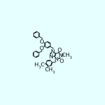 Cc1ccc(Cn2c(=O)n(C)c(=O)c3c2ncn3Cc2ccc(OCc3ccccc3)c(OCc3ccccc3)c2)cc1C